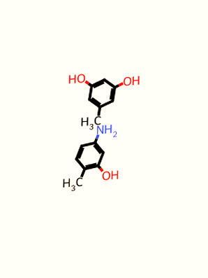 Cc1cc(O)cc(O)c1.Cc1ccc(N)cc1O